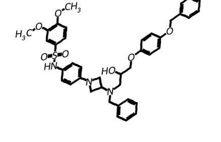 COc1ccc(S(=O)(=O)Nc2ccc(N3CC(N(Cc4ccccc4)CC(O)COc4ccc(OCc5ccccc5)cc4)C3)cc2)cc1OC